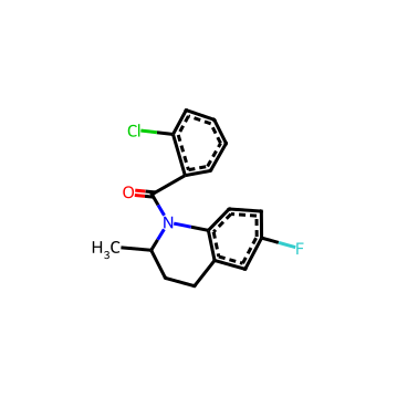 CC1CCc2cc(F)ccc2N1C(=O)c1ccccc1Cl